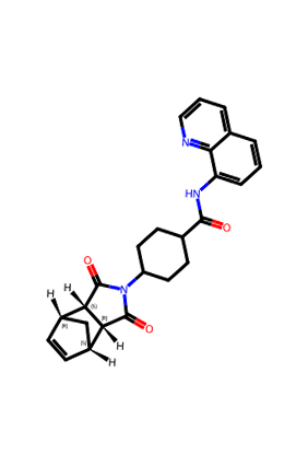 O=C(Nc1cccc2cccnc12)C1CCC(N2C(=O)[C@@H]3[C@H](C2=O)[C@@H]2C=C[C@H]3C2)CC1